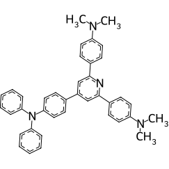 CN(C)c1ccc(-c2cc(-c3ccc(N(c4ccccc4)c4ccccc4)cc3)cc(-c3ccc(N(C)C)cc3)n2)cc1